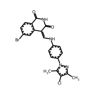 Cc1nn(-c2ccc(NC=C3C(=O)NC(=O)c4ccc(Br)cc43)cc2)c(C)c1Cl